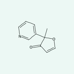 CC1(c2cccnc2)OC=CC1=O